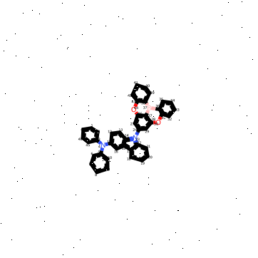 c1ccc(N(c2ccccc2)c2ccc3c(c2)c2ccccc2n3-c2cc3c4c(c2)Oc2ccccc2B4c2ccccc2O3)cc1